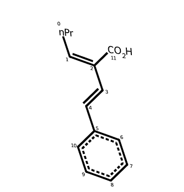 CCCC=C(C=Cc1ccccc1)C(=O)O